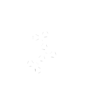 CCC(C)c1ccc(N(c2ccc(-n3c4ccccc4c4ccccc43)cc2)c2ccc(-n3c4ccccc4c4ccccc43)cc2)cc1